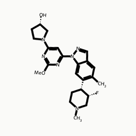 COc1nc(N2CC[C@H](O)C2)cc(-n2ncc3cc(C)c([C@H]4CCN(C)C[C@H]4F)cc32)n1